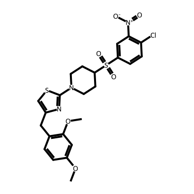 COc1ccc(Cc2csc(N3CCC(S(=O)(=O)c4ccc(Cl)c([N+](=O)[O-])c4)CC3)n2)c(OC)c1